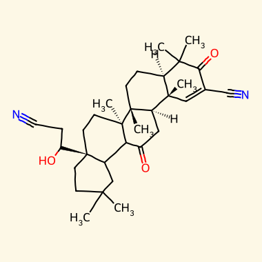 CC1(C)CC[C@]2(C(O)CC#N)CC[C@]3(C)C(C(=O)C[C@@H]4[C@@]5(C)C=C(C#N)C(=O)C(C)(C)[C@@H]5CC[C@]43C)C2C1